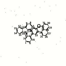 c1ccc(-n2c3ccccc3c3ccccc32)c(-c2ccc3c(c2)-c2cccc4cccc(c24)O3)c1